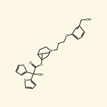 O=C(OC1C[N+]2(CCCOc3cccc(CO)c3)CCC1CC2)C(O)(c1cccs1)c1cccs1